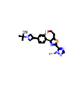 CC(C)n1ncnc1-c1nc2c(s1)CCOc1cc(C3CN(C(C)(C)C#N)C3)ccc1-2